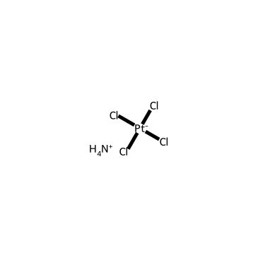 [Cl][Pt-]([Cl])([Cl])[Cl].[NH4+]